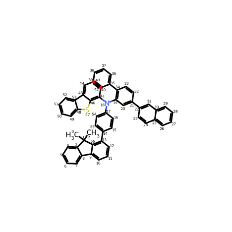 CC1(C)c2ccccc2-c2cccc(-c3ccc(N(c4cc(-c5ccc6ccccc6c5)ccc4-c4ccccc4)c4cccc5c4sc4ccccc45)cc3)c21